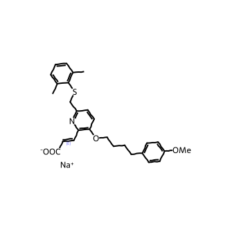 COc1ccc(CCCCOc2ccc(CSc3c(C)cccc3C)nc2/C=C/C(=O)[O-])cc1.[Na+]